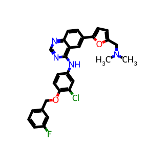 CN(C)Cc1ccc(-c2ccc3ncnc(Nc4ccc(OCc5cccc(F)c5)c(Cl)c4)c3c2)o1